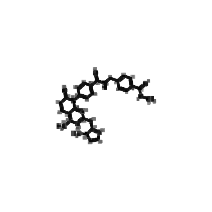 COC(=O)c1ccc(CNC(=O)c2ccc(-n3c(=O)ccc4c(C)nc(Sc5nccn5C)nc43)cc2)cc1